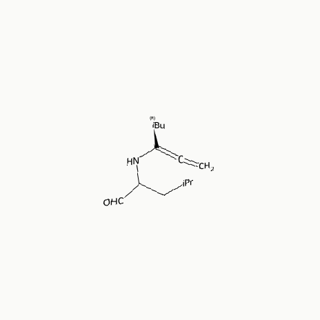 C=C=C(NC(C=O)CC(C)C)[C@H](C)CC